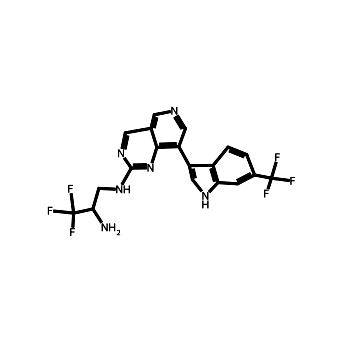 NC(CNc1ncc2cncc(-c3c[nH]c4cc(C(F)(F)F)ccc34)c2n1)C(F)(F)F